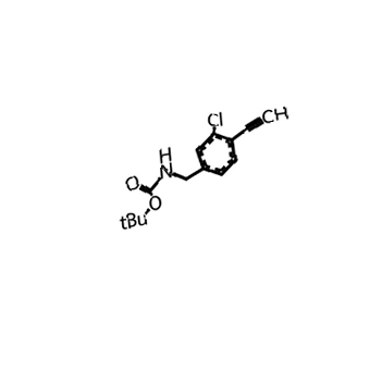 C#Cc1ccc(CNC(=O)OC(C)(C)C)cc1Cl